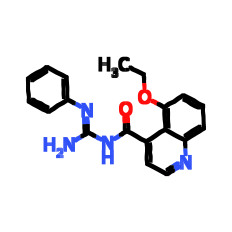 CCOc1cccc2nccc(C(=O)NC(N)=Nc3ccccc3)c12